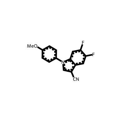 COc1ccc(-n2cc(C#N)c3cc(F)c(F)cc32)cc1